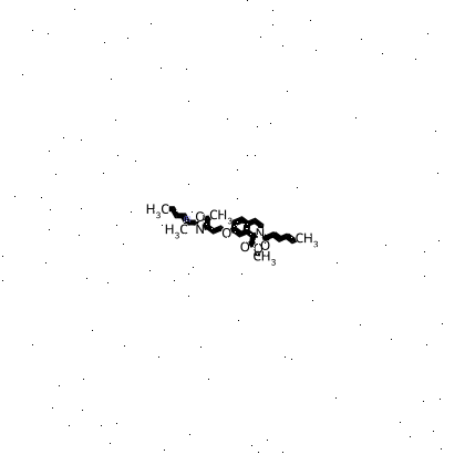 CC=CC=CC(=O)N1CCc2ccc(OCCc3nc(/C(C)=C/CCC)oc3C)cc2C1C(=O)OC